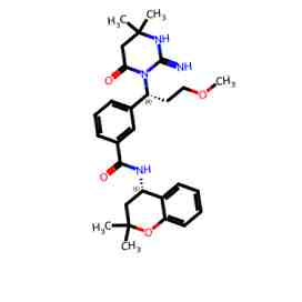 COCC[C@H](c1cccc(C(=O)N[C@H]2CC(C)(C)Oc3ccccc32)c1)N1C(=N)NC(C)(C)CC1=O